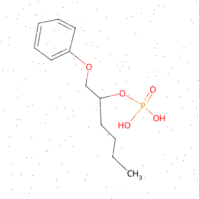 CCCCC(COc1ccccc1)OP(=O)(O)O